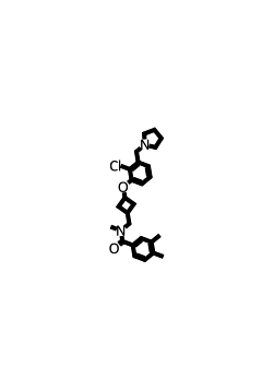 Cc1ccc(C(=O)N(C)CC2CC(Oc3cccc(CN4CCCC4)c3Cl)C2)cc1C